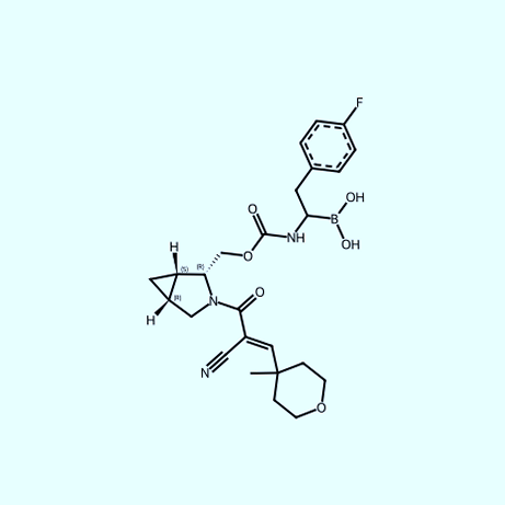 CC1(C=C(C#N)C(=O)N2C[C@@H]3C[C@@H]3[C@@H]2COC(=O)NC(Cc2ccc(F)cc2)B(O)O)CCOCC1